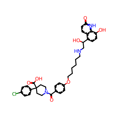 O=C(c1ccc(OCCCCCCNCC(O)c2ccc(O)c3[nH]c(=O)ccc23)cc1)N1CCC(C(=O)O)(c2ccc(Cl)cc2)CC1